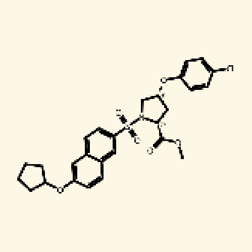 COC(=O)[C@@H]1C[C@@H](Oc2ccc(Cl)cc2)CN1S(=O)(=O)c1ccc2cc(OC3CCCC3)ccc2c1